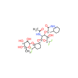 CC(=O)NC1C(O[C@@H](CC2CCCCC2)C(N)=O)[C@@H](O)[C@H](C(F)F)O[C@H]1O[C@@H]1CCCC(C(F)F)[C@H]1OC1O[C@@H](C)C(O)[C@H](O)[C@@H]1O